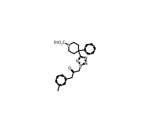 CCOC(=O)N1CCC(c2ccccc2)(c2nnn(CC(=O)Cc3cccc(C)c3)n2)CC1